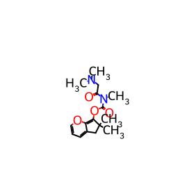 CN(C)CC(=O)N(C)C(=O)OC1=C2OC=CC=C2CC1(C)C